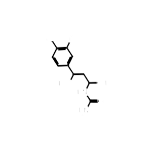 CC(CC(C)c1ccc(Cl)c(Cl)c1)NC(N)=O